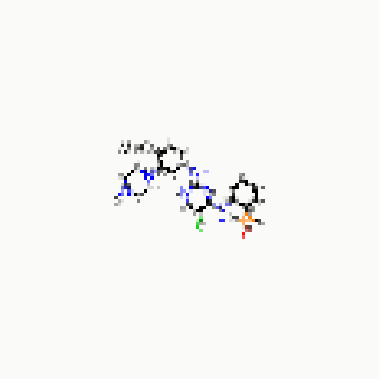 COc1ccc(Nc2ncc(Cl)c(Nc3ccccc3P(C)(C)=O)n2)cc1N1CCN(C)CC1